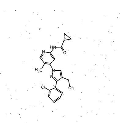 Cc1cnc(NC(=O)C2CC2)cc1-n1cc(CO)c(-c2ccccc2Cl)n1